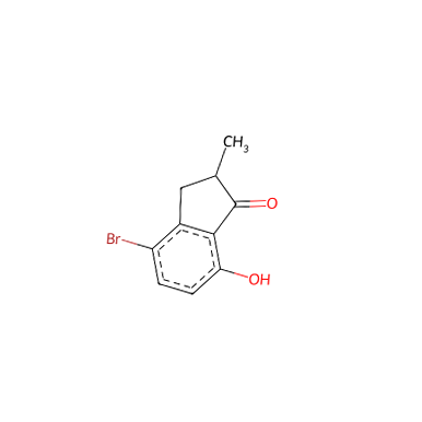 CC1Cc2c(Br)ccc(O)c2C1=O